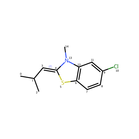 CC(C)/C=C1\Sc2ccc(Cl)cc2N1C